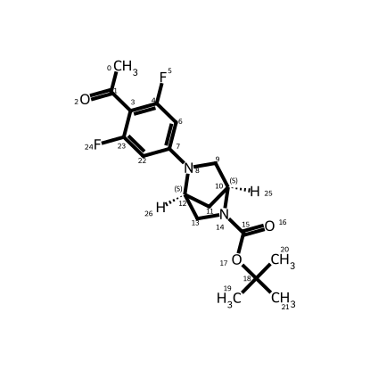 CC(=O)c1c(F)cc(N2C[C@@H]3C[C@H]2CN3C(=O)OC(C)(C)C)cc1F